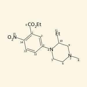 CCOC(=O)c1cc(N2CCN(C)CC2CC)ccc1[N+](=O)[O-]